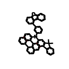 CC1(C)c2ccccc2-c2ccc(N(c3cccc(-c4cccc5oc6ccccc6c45)c3)c3ccccc3-c3cccc4cccc(-c5ccccc5)c34)cc21